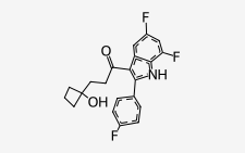 O=C(CCC1(O)CCC1)c1c(-c2ccc(F)cc2)[nH]c2c(F)cc(F)cc12